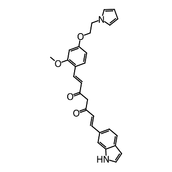 COc1cc(OCCn2cccc2)ccc1C=CC(=O)CC(=O)C=Cc1ccc2cc[nH]c2c1